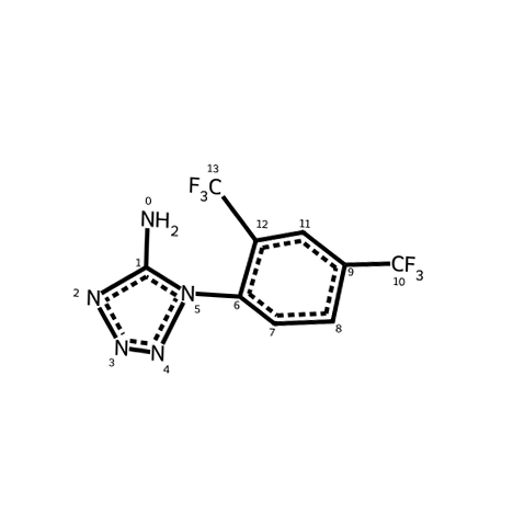 Nc1nnnn1-c1ccc(C(F)(F)F)cc1C(F)(F)F